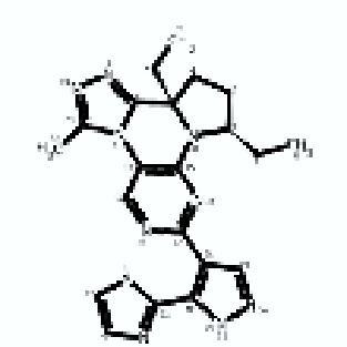 CC[C@@H]1CC[C@@]2(CC)c3nnc(C)n3-c3cnc(-c4cn[nH]c4-c4nccs4)nc3N12